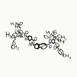 CCOCCC(=O)N[C@H](C(=O)N[C@@H](CCCNC(N)=O)C(=O)Nc1ccc(C(=O)Nc2ccc3oc(C(=O)N4C[C@@H](CCl)c5c4cc(OC(=O)N4CCN(C)CC4)c4[nH]c(C)c(C(=O)OC)c54)cc3c2)cc1)C(C)C